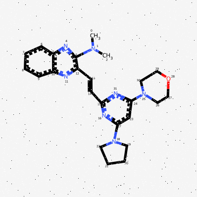 CN(C)c1nc2ccccc2nc1C=Cc1nc(N2CCCC2)cc(N2CCOCC2)n1